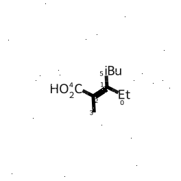 CCC(=C(C)C(=O)O)C(C)CC